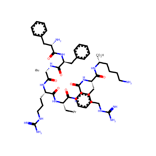 CC[C@H](C)[C@H](NC(=O)[C@H](Cc1ccccc1)NC(=O)[C@@H](N)Cc1ccccc1)C(=O)N[C@@H](CCCNC(=N)N)C(=O)N[C@@H](CC(C)C)C(=O)N[C@@H](CCCNC(=N)N)C(=O)N[C@@H](Cc1ccccc1)C(=O)N[C@@H](CCCCN)C(=O)O